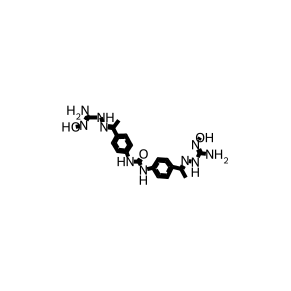 CC(=NNC(N)=NO)c1ccc(NC(=O)Nc2ccc(C(C)=NNC(N)=NO)cc2)cc1